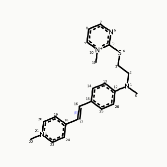 CN(CCSc1nccc[n+]1C)c1ccc(/C=C/c2cc[n+](C)cc2)cc1